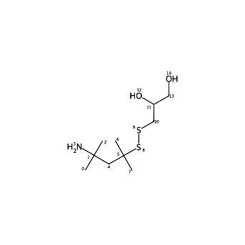 CC(C)(N)CC(C)(C)SSCC(O)CO